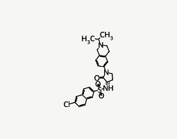 CC(C)N1CCc2cc(N3CC[C@H](NS(=O)(=O)c4ccc5cc(Cl)ccc5c4)C3=O)ccc2C1